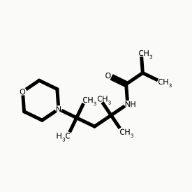 CC(C)C(=O)NC(C)(C)CC(C)(C)N1CCOCC1